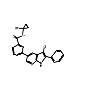 N#CC1(NC(=O)c2cccc(-c3cnc4[nH]c(-c5ccccc5)c(Cl)c4c3)n2)CC1